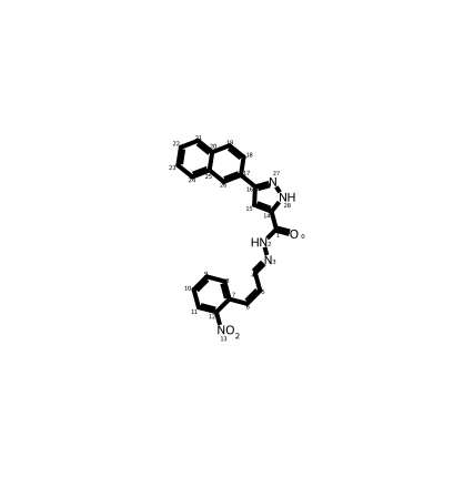 O=C(N/N=C/C=C\c1ccccc1[N+](=O)[O-])c1cc(-c2ccc3ccccc3c2)n[nH]1